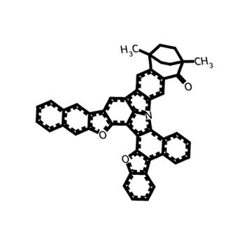 CC12CCC(C)(CC1)c1cc3c4cc5c6cc7ccccc7cc6oc5c5c6c7oc8ccccc8c7c7ccccc7c6n(c3cc1C2=O)c45